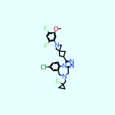 COc1cc(N2CC3(CC(c4nnc5n4-c4ccc(Cl)cc4CN(CC4(F)CC4)C5)C3)C2)c(F)cc1F